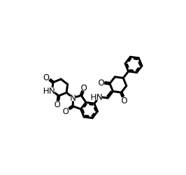 O=C1CCC(N2C(=O)c3cccc(NC=C4C(=O)CC(c5ccccc5)CC4=O)c3C2=O)C(=O)N1